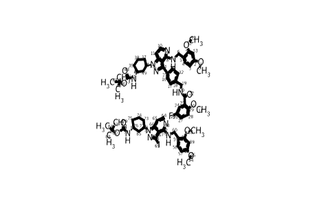 COc1ccc(CNc2nccc3c2c(-c2ccc(CNC(=O)c4cc(F)ccc4OC)cc2)nn3[C@@H]2CCC[C@@H](NC(=O)OC(C)(C)C)C2)c(OC)c1.COc1ccc(CNc2nccc3c2c(I)nn3[C@@H]2CCC[C@@H](NC(=O)OC(C)(C)C)C2)c(OC)c1